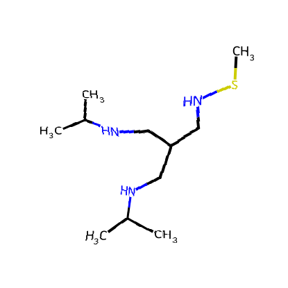 CSNCC(CNC(C)C)CNC(C)C